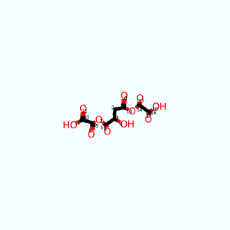 O=C(CC(O)C(=O)OC(=O)C(=O)O)OC(=O)C(=O)O